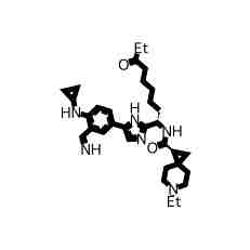 CCC(=O)CCCCC[C@H](NC(=O)[C@H]1CC12CCN(CC)CC2)c1ncc(-c2ccc(NC3CC3)c(C=N)c2)[nH]1